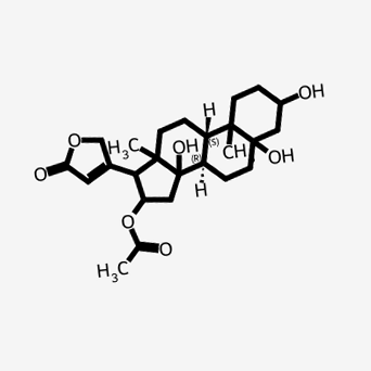 CC(=O)OC1CC2(O)[C@@H]3CCC4(O)CC(O)CCC4(C)[C@H]3CCC2(C)C1C1=CC(=O)OC1